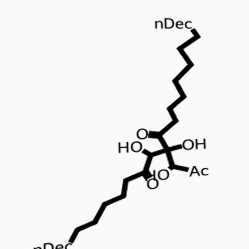 CCCCCCCCCCCCCCCCCC(=O)C(O)(C(O)C(C)=O)C(O)C(=O)CCCCCCCCCCCCCCC